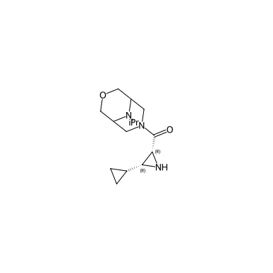 CC(C)N1C2COCC1CN(C(=O)[C@@H]1N[C@@H]1C1CC1)C2